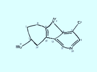 CC(C)(C)C1CCc2[nH]c3c(Cl)cncc3c2C1